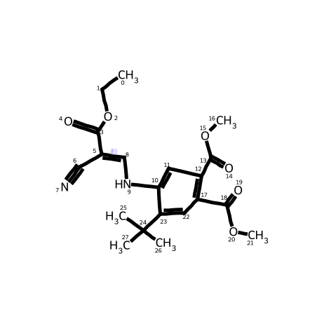 CCOC(=O)/C(C#N)=C/Nc1cc(C(=O)OC)c(C(=O)OC)cc1C(C)(C)C